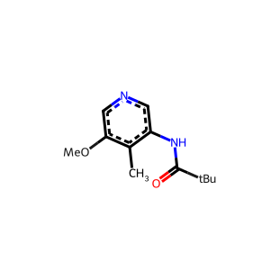 COc1cncc(NC(=O)C(C)(C)C)c1C